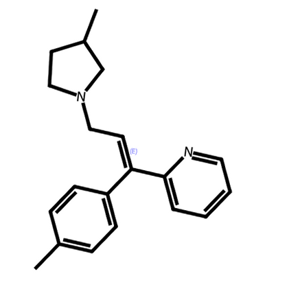 Cc1ccc(/C(=C\CN2CCC(C)C2)c2ccccn2)cc1